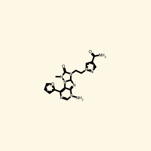 CN1C(=O)N(CCn2cc(C(N)=O)cn2)C2N=C3C(=C(c4ccco4)N=CN3N)N21